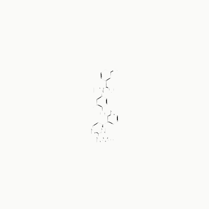 CNc1nccc(-c2cccnc2Oc2ccc(NC(=O)C3=CC(=S)CC=C3)cc2C)n1